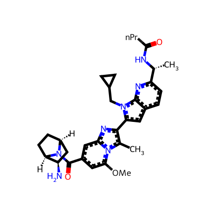 CCCC(=O)N[C@H](C)c1ccc2cc(-c3nc4cc(C(=O)N5[C@H]6CC[C@@H]5[C@H](N)C6)cc(OC)n4c3C)n(CC3CC3)c2n1